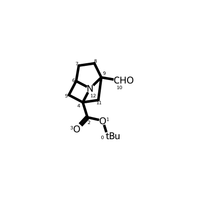 CC(C)(C)OC(=O)C12CC3CCC(C=O)(C1)N32